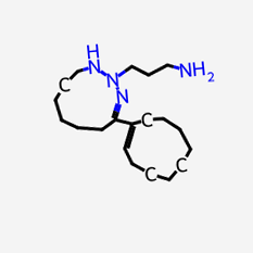 NCCCN1N=C(C2=CCCCCCCCC2)CCCCCCN1